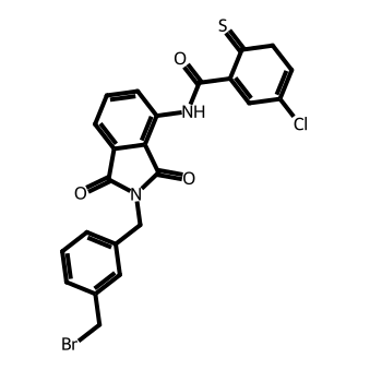 O=C(Nc1cccc2c1C(=O)N(Cc1cccc(CBr)c1)C2=O)C1=CC(Cl)=CCC1=S